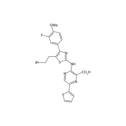 COc1ccc(-c2nc(Nc3ncc(-c4cccs4)nc3C(=O)O)sc2CCC(C)C)cc1F